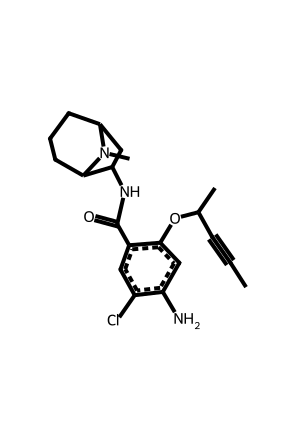 CC#CC(C)Oc1cc(N)c(Cl)cc1C(=O)NC1CC2CCCC1N2C